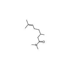 CC(C)=CCCC(C)CC(=O)N(C)C